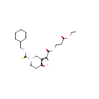 CCOC(=O)CCNC(=O)c1noc2c1CN(C(=S)NCC1CCCCC1)CC2